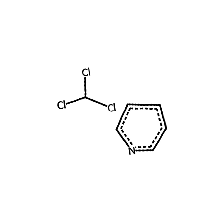 ClC(Cl)Cl.c1ccncc1